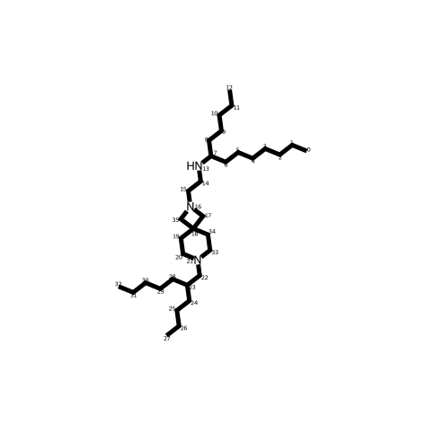 CCCCCCCC(CCCCC)NCCN1CC2(CCN(CC(CCCC)CCCCC)CC2)C1